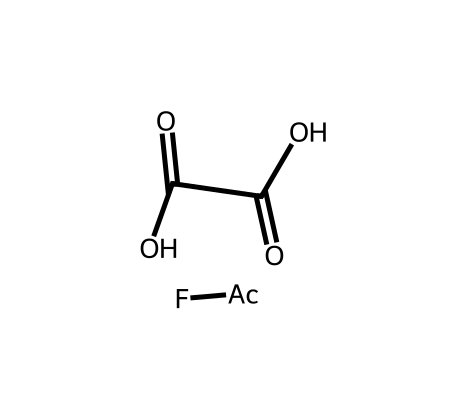 CC(=O)F.O=C(O)C(=O)O